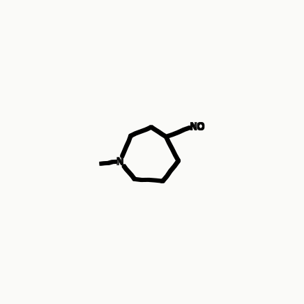 CN1CCCC(N=O)CC1